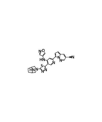 N#Cc1cnn2c(-c3cc(Nc4cnoc4)c(-c4nnc(N5CC6CCC(C5)N6)s4)cn3)ccc2c1